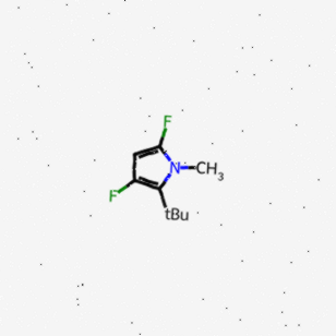 Cn1c(F)cc(F)c1C(C)(C)C